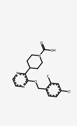 O=C(O)N1CCC(c2nccnc2OCc2ccc(Cl)cc2F)CC1